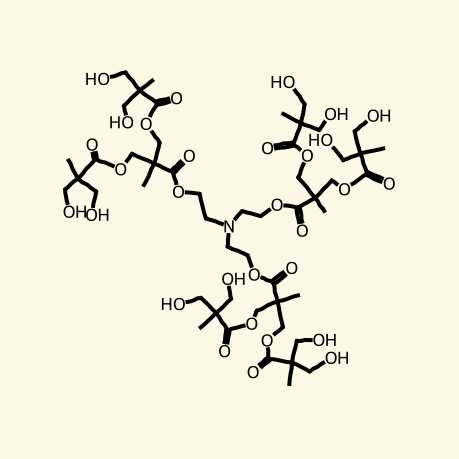 CC(CO)(CO)C(=O)OCC(C)(COC(=O)C(C)(CO)CO)C(=O)OCCN(CCOC(=O)C(C)(COC(=O)C(C)(CO)CO)COC(=O)C(C)(CO)CO)CCOC(=O)C(C)(COC(=O)C(C)(CO)CO)COC(=O)C(C)(CO)CO